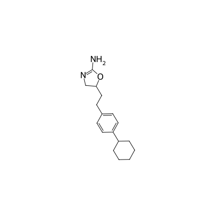 NC1=NCC(CCc2ccc(C3CCCCC3)cc2)O1